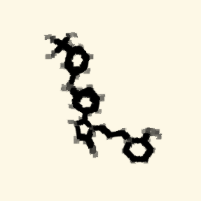 CC1CCCCN1CCCN1C(=O)CSC1c1cccc(Oc2cccc(C(F)(F)F)c2)c1